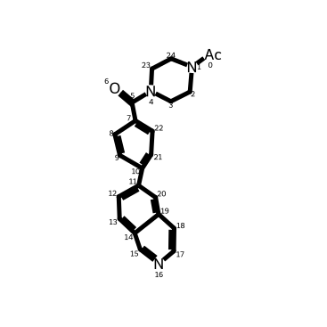 CC(=O)N1CCN(C(=O)c2ccc(-c3ccc4cnccc4c3)cc2)CC1